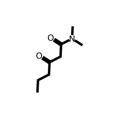 CCCC(=O)CC(=O)N(C)C